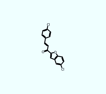 O=C(C=Cc1ccc(Cl)cc1)c1cc2cc(Cl)ccc2o1